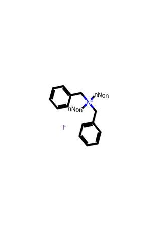 CCCCCCCCC[N+](CCCCCCCCC)(Cc1ccccc1)Cc1ccccc1.[I-]